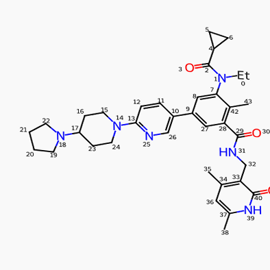 CCN(C(=O)C1CC1)c1cc(-c2ccc(N3CCC(N4CCCC4)CC3)nc2)cc(C(=O)NCc2c(C)cc(C)[nH]c2=O)c1C